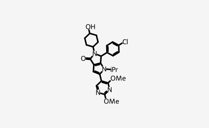 COc1ncc(-c2cc3c(n2C(C)C)C(c2ccc(Cl)cc2)N(C2CCC(O)CC2)C3=O)c(OC)n1